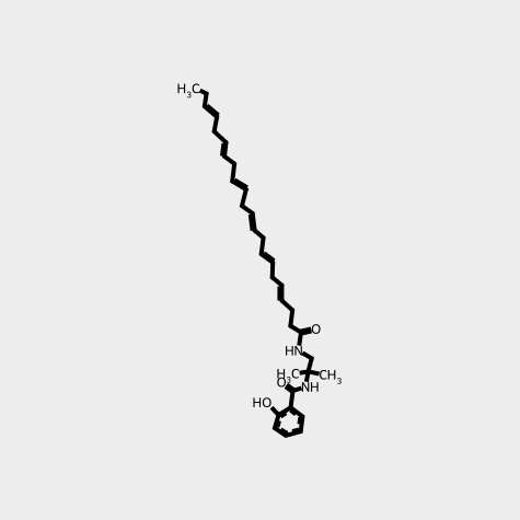 CCC=CCC=CCC=CCC=CCC=CCC=CCCC(=O)NCC(C)(C)NC(=O)c1ccccc1O